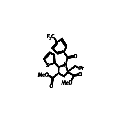 COC(=O)C1CC(CC(C)C)(C(=O)OC)N(C(=O)c2ccc(C(F)(F)F)cc2)C1c1cccs1